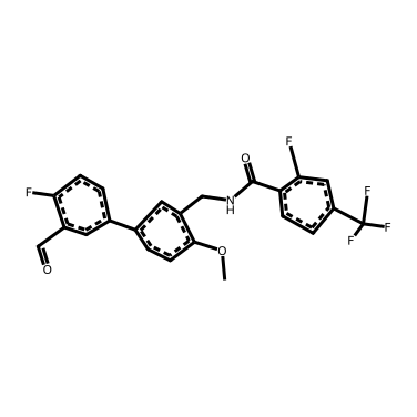 COc1ccc(-c2ccc(F)c(C=O)c2)cc1CNC(=O)c1ccc(C(F)(F)F)cc1F